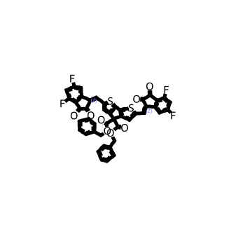 O=C1C(=O)c2c(F)cc(F)cc2/C1=C/c1cc2c(s1)-c1sc(/C=C3\C(=O)C(=O)c4c(F)cc(F)cc43)cc1C2(C(=O)OCc1ccccc1)C(=O)OCc1ccccc1